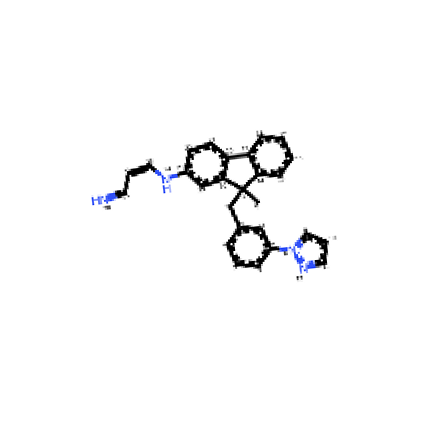 CC1(Cc2cccc(-n3cccn3)c2)c2ccccc2-c2ccc(N/C=C\C=N)cc21